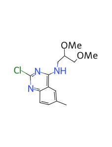 COCC(CNc1nc(Cl)nc2ccc(C)cc12)OC